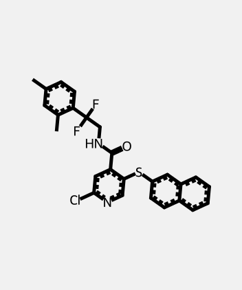 Cc1ccc(C(F)(F)CNC(=O)c2cc(Cl)ncc2Sc2ccc3ccccc3c2)c(C)c1